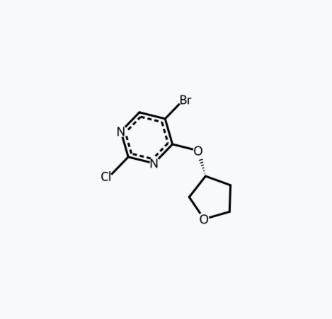 Clc1ncc(Br)c(O[C@@H]2CCOC2)n1